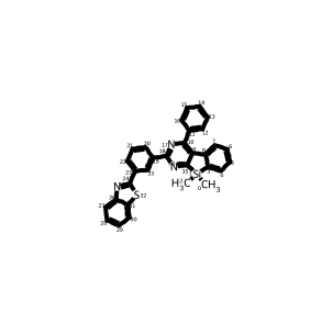 C[Si]1(C)c2ccccc2-c2c(-c3ccccc3)nc(-c3cccc(-c4nc5ccccc5s4)c3)nc21